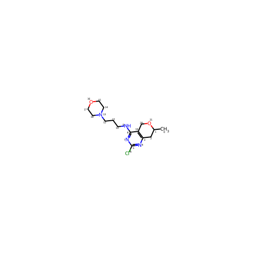 CC1Cc2nc(Cl)nc(NCCCN3CCOCC3)c2CO1